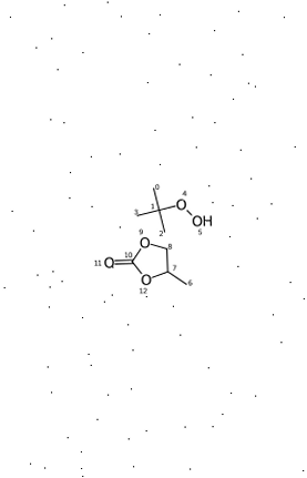 CC(C)(C)OO.CC1COC(=O)O1